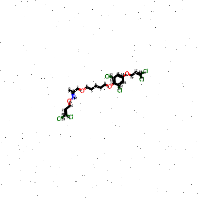 CC(COCCCCCOc1c(Cl)cc(OCC=C(Cl)Cl)cc1Cl)=NOCC=C(Cl)Cl